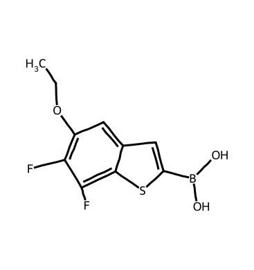 CCOc1cc2cc(B(O)O)sc2c(F)c1F